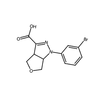 O=C(O)C1=NN(c2cccc(Br)c2)C2COCC12